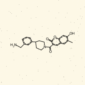 Cc1cc2cc(C(=O)N3CCC(c4cccc(CN)c4)CC3)c(=O)oc2cc1O